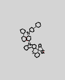 c1ccc(-c2ccc(N(c3ccc(-n4c5ccccc5c5c6c(ccc54)C4(c5ccccc5S6)c5ccccc5-c5ccccc54)cc3)c3ccccc3-c3ccccc3)cc2)cc1